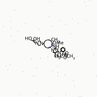 C=C1CCCC(N2CCN(C[C@@H](O)CO)CC2)CC/C=C\C(Nc2ncc(Cl)c(Nc3ccccc3N(C)S(C)(=O)=O)n2)=C/1OC